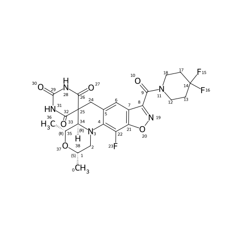 C[C@H]1CN2c3c(cc4c(C(=O)N5CCC(F)(F)CC5)noc4c3F)CC3(C(=O)NC(=O)NC3=O)[C@@H]2[C@@H](C)O1